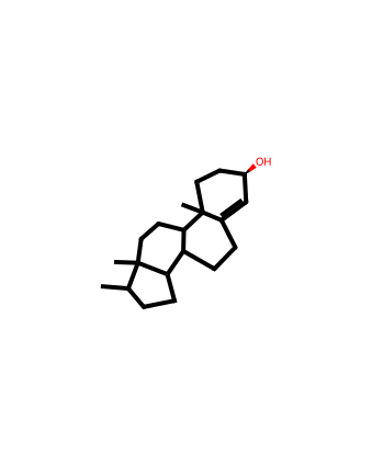 CC1CCC2C3CCC4=C[C@H](O)CCC4(C)C3CCC12C